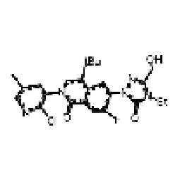 CCn1c(CO)nn(-c2cc3c(C(C)(C)C)cn(-c4cc(C)cnc4Cl)c(=O)c3cc2F)c1=O